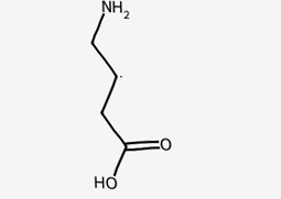 NC[CH]CC(=O)O